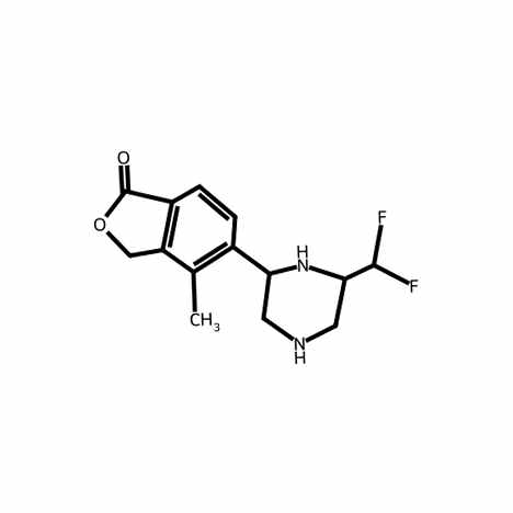 Cc1c(C2CNCC(C(F)F)N2)ccc2c1COC2=O